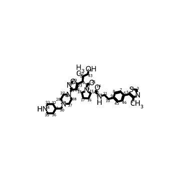 Cc1ncsc1-c1ccc(CCNC(=O)[C@@H]2CCCN2C(=O)[C@H](c2cc(N3CCN(CC4CCNCC4)CC3)no2)[C@H](C)CO)cc1